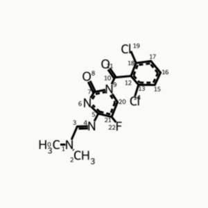 CN(C)/C=N/c1nc(=O)n(C(=O)c2c(Cl)cccc2Cl)cc1F